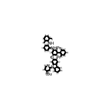 Cc1cccc(C)c1Nc1ccccc1Nc1cc(Oc2ccc3c4ccccc4n(-c4cc(C(C)(C)C)ccn4)c3c2)cc(-c2c(C(C)C)cccc2C(C)C)c1